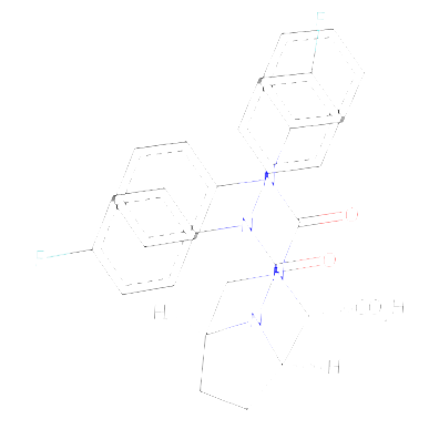 O=C(O)[C@@H]1[C@H]2CC[C@@H](CN1C(=O)N(c1ccccc1)c1ccccc1)N2C(=O)N(c1ccc(F)cc1)c1ccc(F)cc1